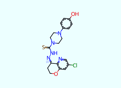 Oc1ccc(N2CCN(C(=S)N/N=C3/CCOc4cc(Cl)cnc43)CC2)cc1